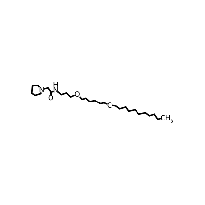 CCCCCCCCCCCCCCCCCCOCCCNC(=O)CN1CCCCC1